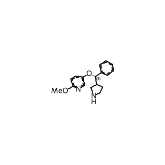 COc1ccc(O[C@H](c2ccccc2)C2CCNC2)cn1